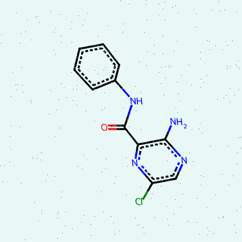 Nc1ncc(Cl)nc1C(=O)Nc1ccccc1